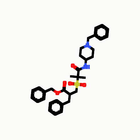 CC(C)(C(=O)NC1CCN(Cc2ccccc2)CC1)S(=O)(=O)CC(Cc1ccccc1)C(=O)OCc1ccccc1